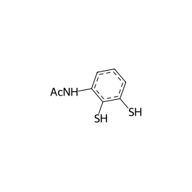 CC(=O)Nc1cccc(S)c1S